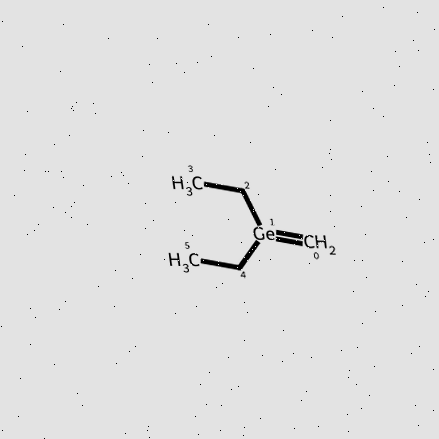 [CH2]=[Ge]([CH2]C)[CH2]C